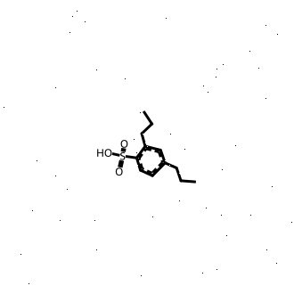 CCCc1ccc(S(=O)(=O)O)c(CCC)c1